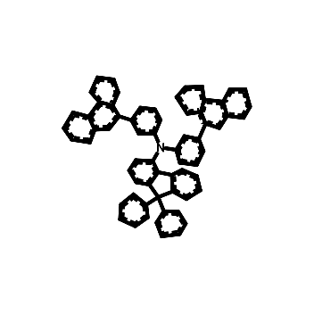 c1ccc(C2(c3ccccc3)c3ccccc3-c3c(N(c4cccc(-c5cc6ccccc6c6ccccc56)c4)c4cccc(-c5cc6ccccc6c6ccccc56)c4)cccc32)cc1